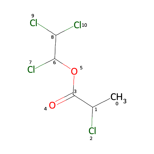 CC(Cl)C(=O)OC(Cl)C(Cl)Cl